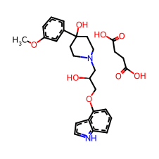 COc1cccc(C2(O)CCN(C[C@H](O)COc3cccc4[nH]ccc34)CC2)c1.O=C(O)CCC(=O)O